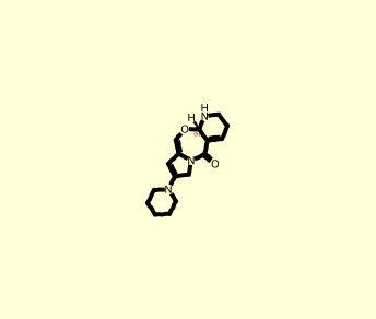 O=C1C2=CCCN[C@H]2OC=C2C=C(N3CCCCC3)CN12